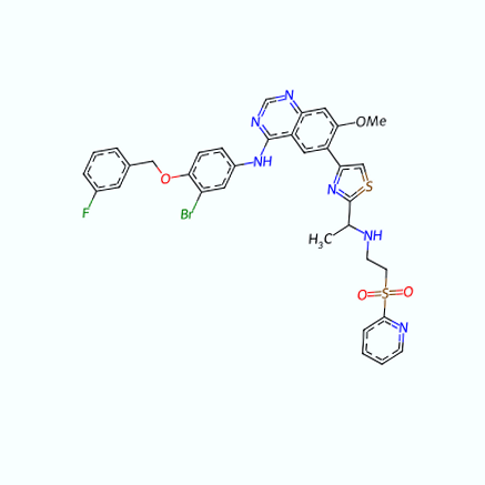 COc1cc2ncnc(Nc3ccc(OCc4cccc(F)c4)c(Br)c3)c2cc1-c1csc(C(C)NCCS(=O)(=O)c2ccccn2)n1